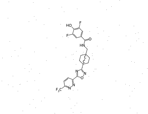 O=C(NCC12CCC(c3noc(-c4ccc(C(F)(F)F)nn4)n3)(CC1)CC2)c1cc(F)c(O)c(F)c1